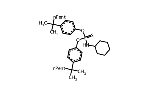 CCCCCC(C)(C)c1ccc(OP(=S)(NC2CCCCC2)Oc2ccc(C(C)(C)CCCCC)cc2)cc1